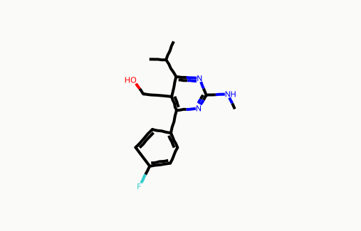 CNc1nc(-c2ccc(F)cc2)c(CO)c(C(C)C)n1